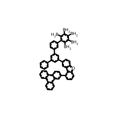 Bc1c(B)c(B)c(-c2cccc(-c3cc(-c4ccccc4)cc(-c4ccc5oc6cccc(-c7ccc8c9ccccc9c9ccccc9c8c7)c6c5c4)c3)c2)c(B)c1B